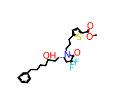 COC(=O)c1ccc(CCCN2C(=O)C(F)(F)C[C@@H]2CC[C@@H](O)CCCCc2ccccc2)s1